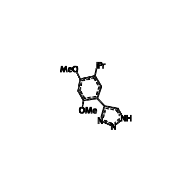 COc1cc(OC)c(C(C)C)cc1-c1c[nH]nn1